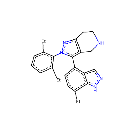 CCc1cccc(CC)c1-n1nc2c(c1-c1ccc(CC)c3[nH]ncc13)CNCC2